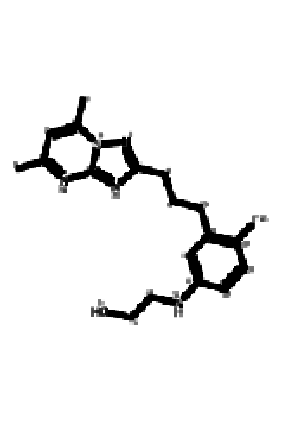 Cc1cc(C)n2nc(CCCc3cc(NCCO)ccc3F)nc2n1